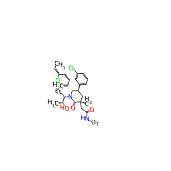 C=C(/C=C\C(Cl)=C/C)[C@@H]1[C@@H](c2cccc(Cl)c2)C[C@](C)(CC(=O)NC(C)C)C(=O)N1C(CC)[C@H](C)O